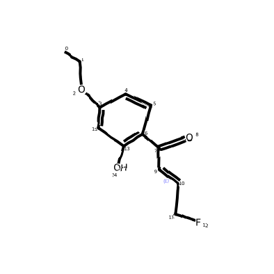 CCOc1ccc(C(=O)/C=C/CF)c(O)c1